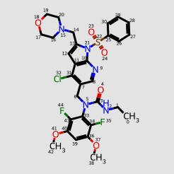 CCNC(=O)N(Cc1cnc2c(cc(CN3CCOCC3)n2S(=O)(=O)c2ccccc2)c1Cl)c1c(F)c(OC)cc(OC)c1F